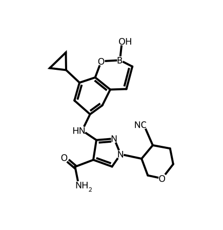 N#CC1CCOCC1n1cc(C(N)=O)c(Nc2cc3c(c(C4CC4)c2)OB(O)C=C3)n1